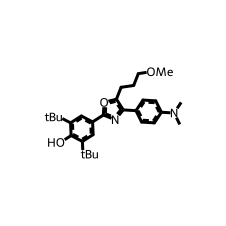 COCCCc1oc(-c2cc(C(C)(C)C)c(O)c(C(C)(C)C)c2)nc1-c1ccc(N(C)C)cc1